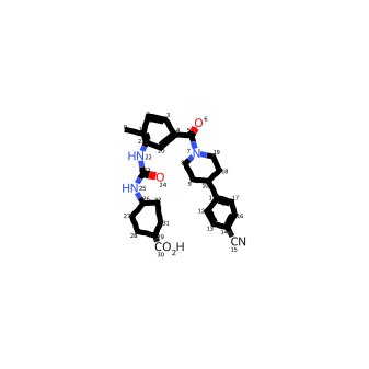 Cc1ccc(C(=O)N2CCC(c3ccc(C#N)cc3)CC2)cc1NC(=O)NC1CCC(C(=O)O)CC1